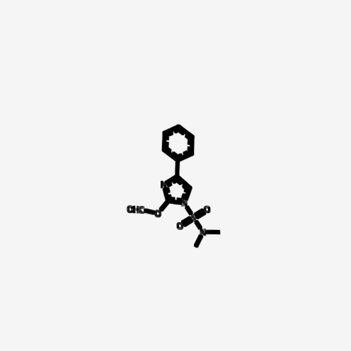 CN(C)S(=O)(=O)n1cc(-c2ccccc2)nc1OC=O